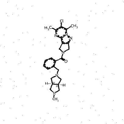 Cc1nc2c3c(nn2c(C)c1Cl)CN(C(=O)c1ccccc1CN1C[C@H]2CN(C)C[C@H]2C1)C3